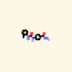 Cc1ccccc1NC(=O)Nc1ccc(C(N)=O)cc1